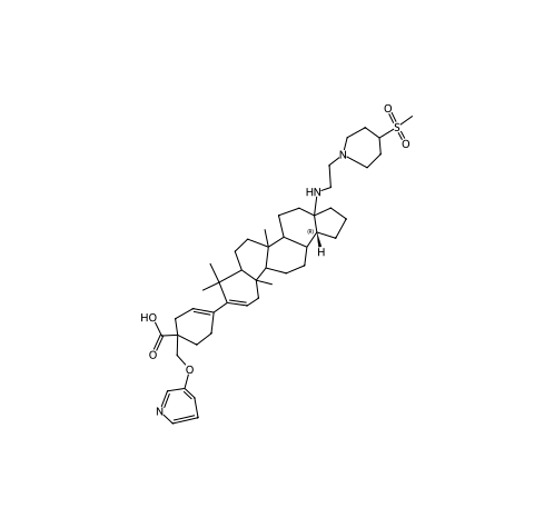 CC1(C)C(C2=CCC(COc3cccnc3)(C(=O)O)CC2)=CCC2(C)C1CCC1(C)C3CCC4(NCCN5CCC(S(C)(=O)=O)CC5)CCC[C@@H]4C3CCC12